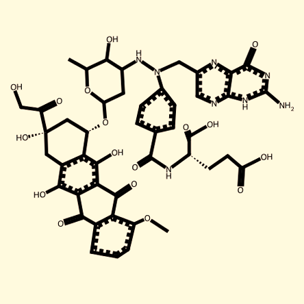 COc1cccc2c1C(=O)c1c(O)c3c(c(O)c1C2=O)C[C@@](O)(C(=O)CO)C[C@@H]3OC1CC(NN(Cc2cnc3[nH]c(N)nc(=O)c3n2)c2ccc(C(=O)N[C@@H](CCC(=O)O)C(=O)O)cc2)C(O)C(C)O1